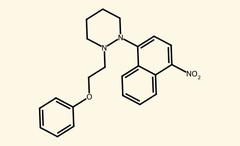 O=[N+]([O-])c1ccc(N2CCCCN2CCOc2ccccc2)c2ccccc12